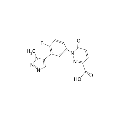 Cn1nncc1-c1cc(-n2nc(C(=O)O)ccc2=O)ccc1F